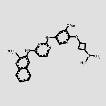 CCOC(=O)c1nc2ccccc2cc1Nc1ccnc(Nc2cnc(OC3CC(N(C)C)C3)c(OC)c2)n1